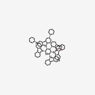 c1ccc(-c2ccc3c(c2)c2cc(-c4ccccc4)ccc2n3-c2c(-n3c4ccccc4c4cnccc43)nc(-n3c4ccccc4c4cnccc43)c(-n3c4ccccc4c4cnccc43)c2-c2cccc3c2sc2ccccc23)cc1